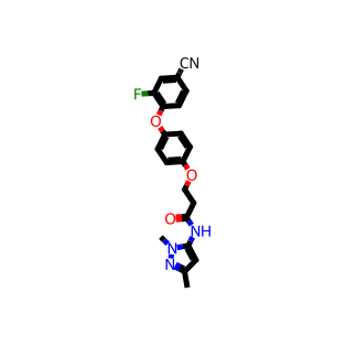 Cc1cc(NC(=O)CCOc2ccc(Oc3ccc(C#N)cc3F)cc2)n(C)n1